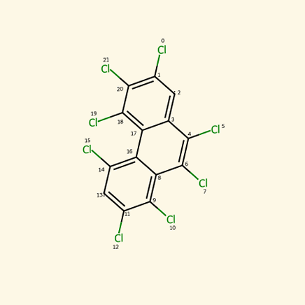 Clc1[c]c2c(Cl)c(Cl)c3c(Cl)c(Cl)[c]c(Cl)c3c2c(Cl)c1Cl